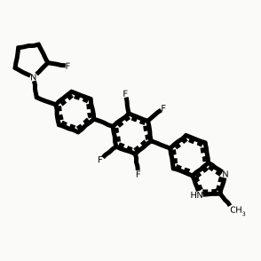 Cc1nc2ccc(-c3c(F)c(F)c(-c4ccc(CN5CCCC5F)cc4)c(F)c3F)cc2[nH]1